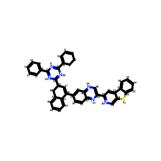 C1=CCCC(c2nc(-c3ccccc3)nc(C3C=C(c4ccc5nc(-c6cc7c(cn6)sc6ccccc67)cnc5c4)c4ccccc4C3)n2)=C1